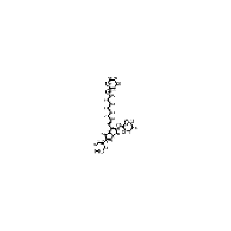 CC=C(CO)C1=CC2C[C@@H](OC3CCCCO3)[C@H](C=CCCCCCCOC3CCCCO3)C2C1